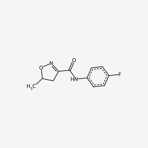 CC1CC(C(=O)Nc2ccc(F)cc2)=NO1